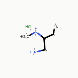 Cl.N#CCC(CN)NC(=O)O